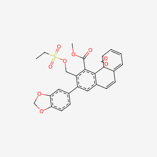 CCS(=O)(=O)OCc1c(-c2ccc3c(c2)OCO3)cc2c(c1C(=O)OC)C13OCOC1C=CC=C3C=C2